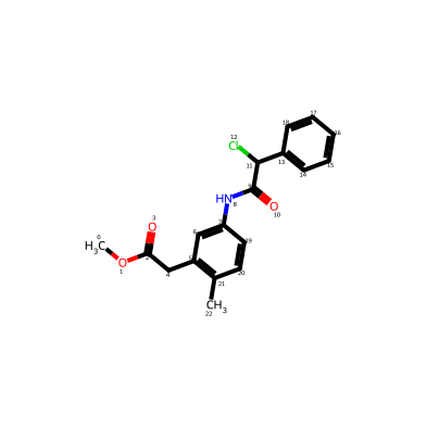 COC(=O)Cc1cc(NC(=O)C(Cl)c2ccccc2)ccc1C